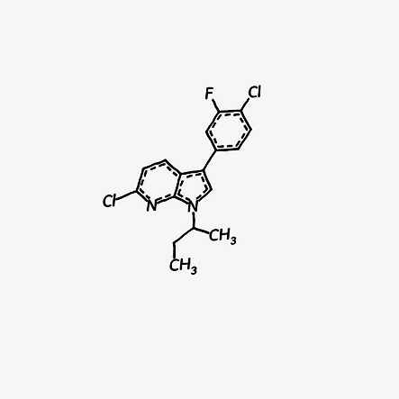 CCC(C)n1cc(-c2ccc(Cl)c(F)c2)c2ccc(Cl)nc21